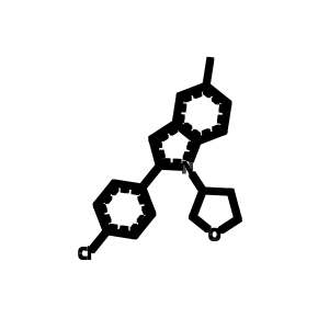 Cc1ccc2c(c1)cc(-c1ccc(Cl)cc1)n2C1CCOC1